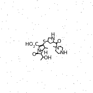 CC(O)C1C(=O)N2C(C(=O)O)=C(SC3CNC(C(=O)[N+]4(C)CCNCC4)C3)C(C)[C@@H]12